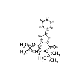 CC(C)(C)OC(=O)C1CC(c2ccccc2)CN1C(=O)OC(C)(C)C